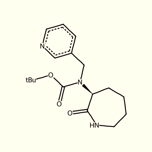 CC(C)(C)OC(=O)N(Cc1cccnc1)[C@H]1CCCCNC1=O